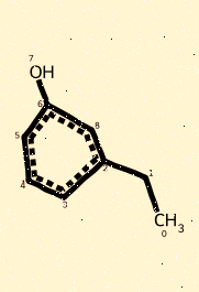 CCc1c[c]cc(O)c1